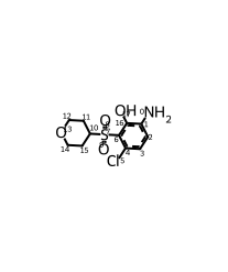 Nc1ccc(Cl)c(S(=O)(=O)C2CCOCC2)c1O